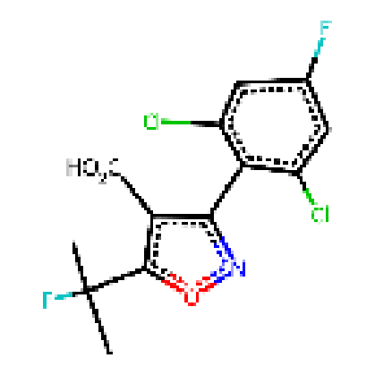 CC(C)(F)c1onc(-c2c(Cl)cc(F)cc2Cl)c1C(=O)O